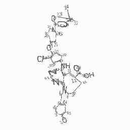 COc1ccc(CN2CCC/C(C(=O)O)=C\c3c(Nc4ccc(OC5CCN(C(=O)OC(C)(C)C)CC5)c(Cl)c4)ncnc32)cc1